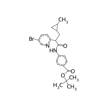 CC1CC1CC(C(=O)Nc1ccc(C(=O)OC(C)(C)C)cc1)c1ccc(Br)cn1